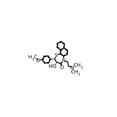 COc1ccc([C@H]2Sc3c(ccc4ccccc34)N(CCN(C)C)C(=O)[C@@H]2O)cc1